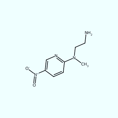 CN(CCN)c1ccc([N+](=O)[O-])cn1